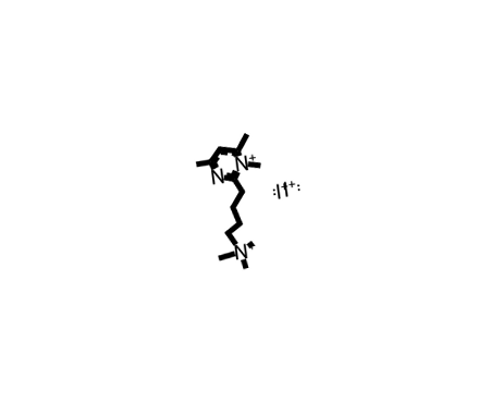 Cc1cc(C)[n+](C)c(CCCC[N+](C)(C)C)n1.[I+].[I+]